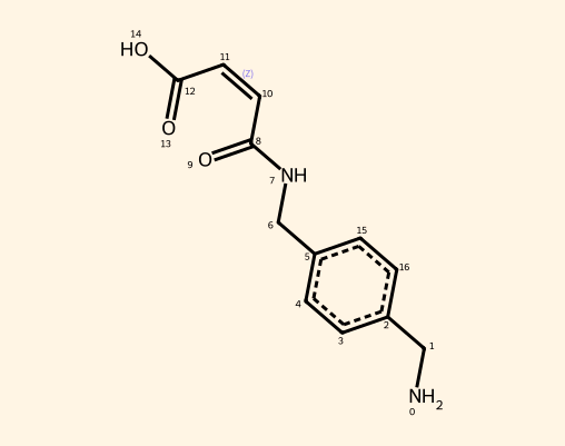 NCc1ccc(CNC(=O)/C=C\C(=O)O)cc1